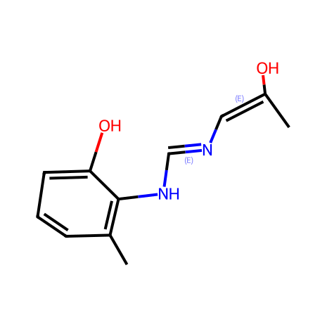 C/C(O)=C\N=C\Nc1c(C)cccc1O